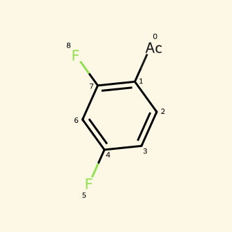 [CH2]C(=O)c1ccc(F)cc1F